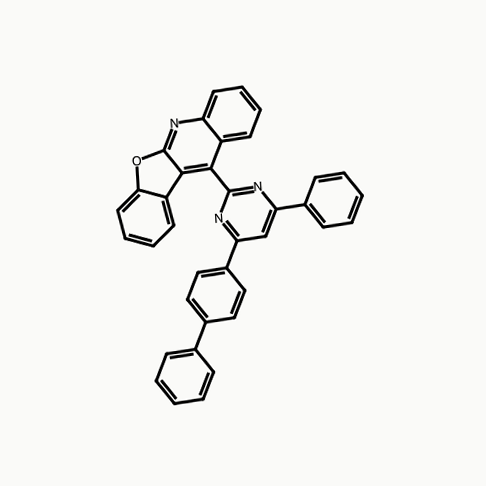 c1ccc(-c2ccc(-c3cc(-c4ccccc4)nc(-c4c5ccccc5nc5oc6ccccc6c45)n3)cc2)cc1